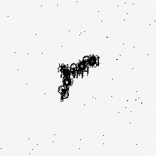 CCOC(=O)Cc1ccc(-n2nc(C(C)(C)C)cc2NC(=O)Nc2ccc(Oc3ccncc3)cc2)cc1